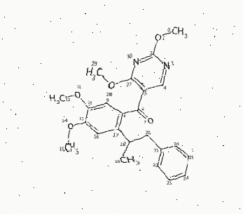 COc1ncc(C(=O)c2cc(OC)c(OC)cc2C(C)Cc2ccccc2)c(OC)n1